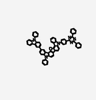 c1ccc(-c2nc(-c3ccccc3)nc(-c3ccc(-n4c5ccccc5c5c6oc7c(ccc8c7c7cc(-c9ccc%10c(c9)c9ccccc9n%10-c9ccccc9)ccc7n8-c7ccccc7)c6ccc54)cc3)n2)cc1